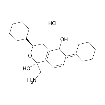 Cl.NC[C@@]1(O)O[C@@H](C2CCCCC2)CC2=C1C=CC(=C1CCCCC1)C2O